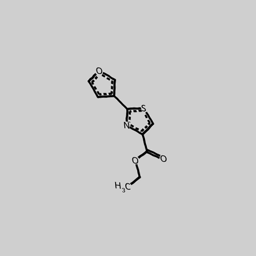 CCOC(=O)c1csc(-c2ccoc2)n1